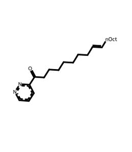 CCCCCCCCC=CCCCCCCCC(=O)c1cccnn1